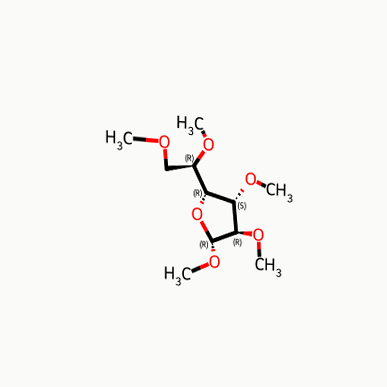 COC[C@@H](OC)[C@H]1O[C@@H](OC)[C@H](OC)[C@H]1OC